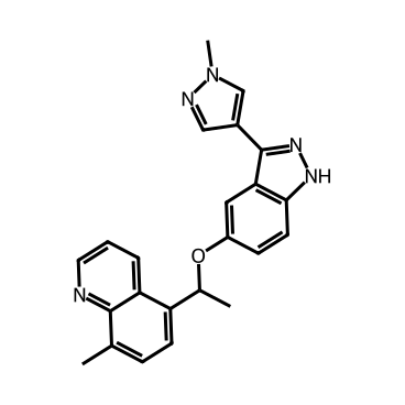 Cc1ccc(C(C)Oc2ccc3[nH]nc(-c4cnn(C)c4)c3c2)c2cccnc12